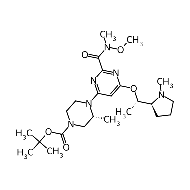 CON(C)C(=O)c1nc(O[C@@H](C)[C@@H]2CCCN2C)cc(N2CCN(C(=O)OC(C)(C)C)C[C@H]2C)n1